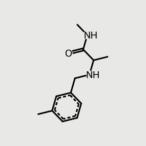 CNC(=O)C(C)NCc1cccc(C)c1